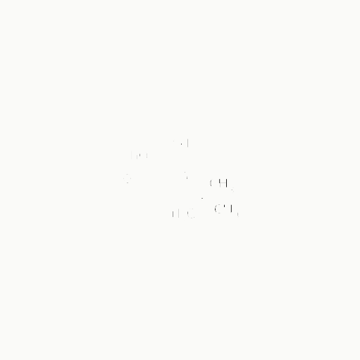 Cc1cc(C(C)(C)C)cc(C=O)c1O